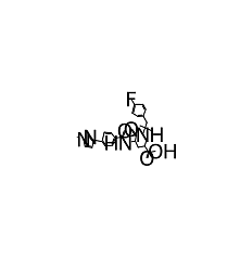 CC(CC(NC(=O)c1ccc(-c2ccn(C)n2)cc1)C(=O)NC(C)(C)Cc1ccc(F)cc1)C(=O)O